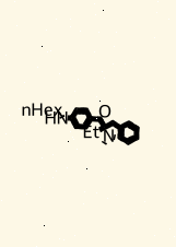 CCCCCCNc1ccc(C(=O)C(CC)(Cc2ccccc2)N(C)C)cc1